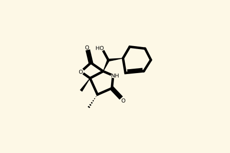 C[C@H]1C(=O)N[C@@]2(C(O)[C@@H]3C=CCCC3)C(=O)O[C@@]12C